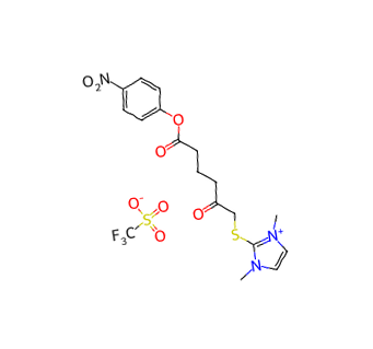 Cn1cc[n+](C)c1SCC(=O)CCCC(=O)Oc1ccc([N+](=O)[O-])cc1.O=S(=O)([O-])C(F)(F)F